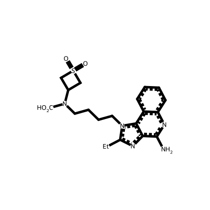 CCc1nc2c(N)nc3ccccc3c2n1CCCCN(C(=O)O)C1CS(=O)(=O)C1